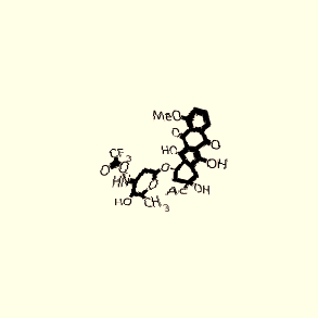 COc1cccc2c1C(=O)c1c(O)c3c(c(O)c1C2=O)C[C@@](O)(C(C)=O)C[C@@H]3OC1CC(NOC(=O)C(F)(F)F)C(O)C(C)O1